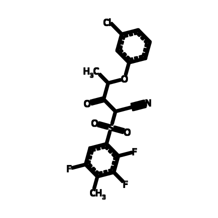 Cc1c(F)cc(S(=O)(=O)C(C#N)C(=O)C(C)Oc2cccc(Cl)c2)c(F)c1F